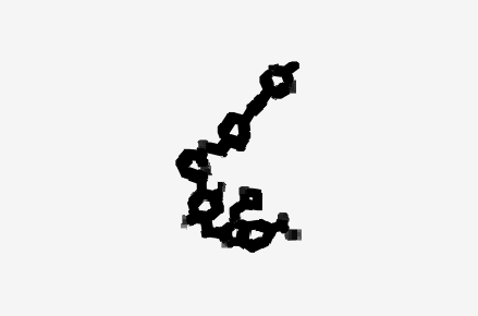 Cc1ncc(C#Cc2ccc(COc3cccc(-c4cc(F)c(Cc5nc6ccc(C(=O)O)cc6n5CC5CCO5)cc4F)n3)cc2)cn1